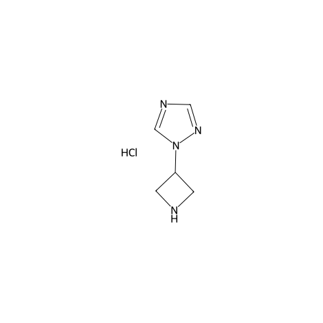 Cl.c1ncn(C2CNC2)n1